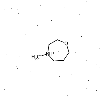 [CH2-][NH+]1CCCOCC1